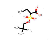 CCC(C(=O)O)S(=O)(=O)OCC(C)(C)C